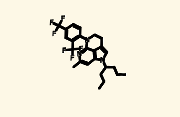 CCCC(CCC)n1cc2c3c(nc(C)cc31)N(c1ccc(C(F)(F)F)cc1C(F)(F)F)CC2